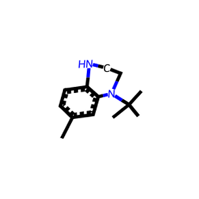 Cc1ccc2c(c1)N(C(C)(C)C)CCN2